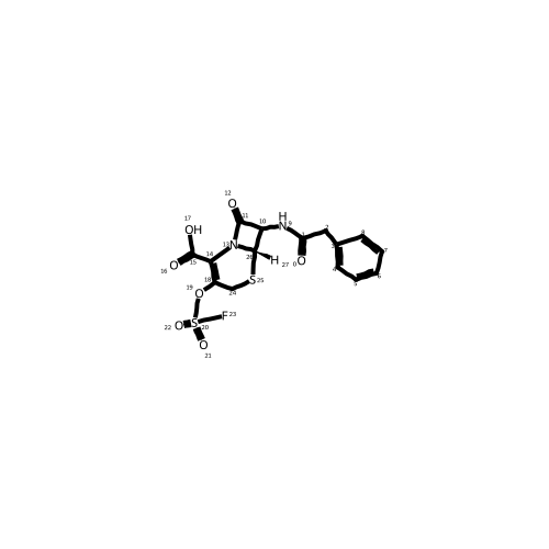 O=C(Cc1ccccc1)NC1C(=O)N2C(C(=O)O)=C(OS(=O)(=O)F)CS[C@@H]12